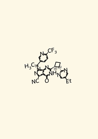 CCc1cnc([C@H]2CC[C@@H]2c2nc3c(c(C#N)nn3[C@H](C)c3ccc(C(F)(F)F)nc3)c(=O)[nH]2)nc1